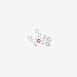 c1ccc(-c2ccc(N(c3ccc4c(c3)C3(c5ccccc5-c5ccc(-c6ccccc6)cc53)c3ccccc3-4)c3cccc4c3-c3ccccc3C43c4ccccc4-c4ccc(-c5ccccc5)cc43)cc2)cc1